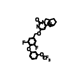 O=c1nc(OCc2cc(F)c(Oc3cccc(OC(F)(F)F)c3)c(F)c2)cc2n1CC13CCC(CC1)N23